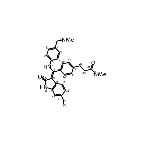 CNCc1ccc(N/C(=C2\C(=O)Nc3cc(F)ccc32)c2ccc(CCC(=O)NC)cc2)cc1